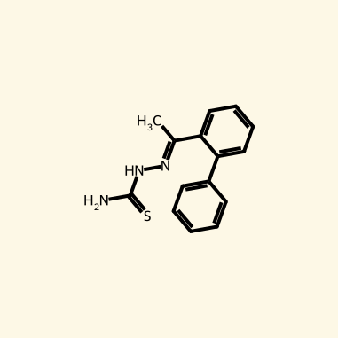 CC(=NNC(N)=S)c1ccccc1-c1ccccc1